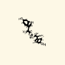 NC(C(=O)OS(=O)(=O)OC(=O)C(N)c1c[nH]c2cc(O)ccc12)c1c[nH]c2cc(O)ccc12